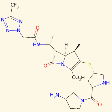 C[C@@H](NC(=O)Cn1nnc(C(F)(F)F)n1)[C@H]1C(=O)N2C(C(=O)O)=C(S[C@@H]3CNC(C(=O)N4CCC(N)C4)C3)[C@H](C)[C@H]12